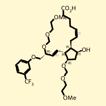 COCCOCO[C@H](/C=C/[C@@H]1[C@@H](C/C=C\CCCC(=O)O)[C@@H](O)C[C@H]1OCOCCOC)COc1cccc(C(F)(F)F)c1